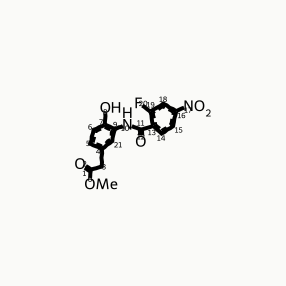 COC(=O)Cc1ccc(O)c(NC(=O)c2ccc([N+](=O)[O-])cc2F)c1